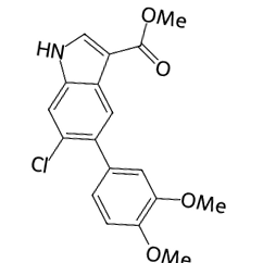 COC(=O)c1c[nH]c2cc(Cl)c(-c3ccc(OC)c(OC)c3)cc12